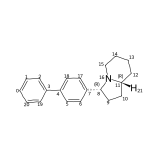 c1ccc(-c2ccc([C@H]3CC[C@H]4CCCCN43)cc2)cc1